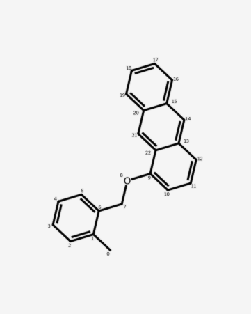 Cc1ccccc1COc1cccc2cc3ccccc3cc12